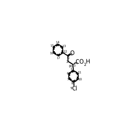 O=C(C[C@@H](C(=O)O)c1ccc(Cl)cc1)c1ccccc1